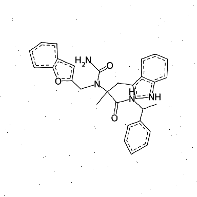 CC(NC(=O)C(C)(Cc1c[nH]c2ccccc12)N(Cc1cc2ccccc2o1)C(N)=O)c1ccccc1